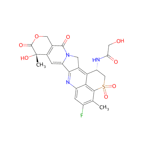 Cc1c(F)cc2nc3c(c4c2c1S(=O)(=O)C[C@H]4NC(=O)CO)Cn1c-3cc2c(c1=O)COC(=O)[C@@]2(C)O